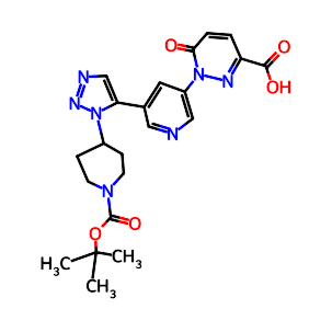 CC(C)(C)OC(=O)N1CCC(n2nncc2-c2cncc(-n3nc(C(=O)O)ccc3=O)c2)CC1